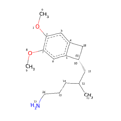 COc1cc2c(cc1OC)[C@@H](CC(C)CCCN)C2